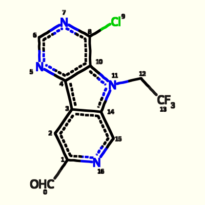 O=Cc1cc2c3ncnc(Cl)c3n(CC(F)(F)F)c2cn1